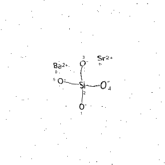 [Ba+2].[O-][Si]([O-])([O-])[O-].[Sr+2]